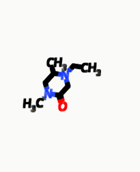 CCN1CC(=O)N(C)CC1C